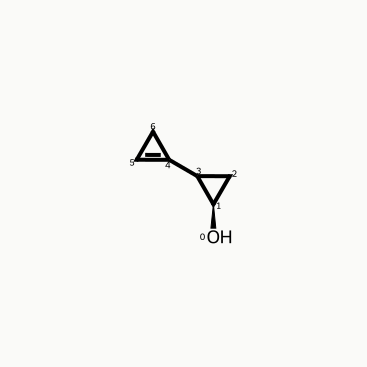 O[C@@H]1CC1C1=CC1